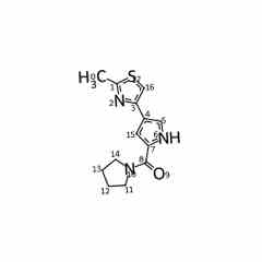 Cc1nc(-c2c[nH]c(C(=O)N3CCCC3)c2)cs1